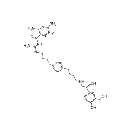 NC(=NCCCCc1ccc(CCCCNC[C@@H](O)c2ccc(O)c(CO)c2)cc1)NC(=O)c1nc(Cl)c(N)nc1N